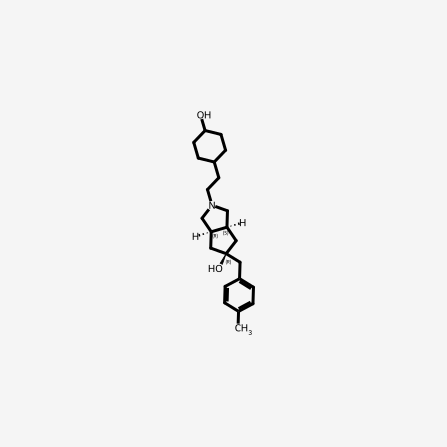 Cc1ccc(C[C@]2(O)C[C@H]3CN(CCC4CCC(O)CC4)C[C@H]3C2)cc1